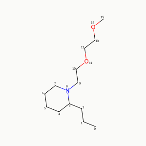 CCCC1CCCCN1CCOCCOC